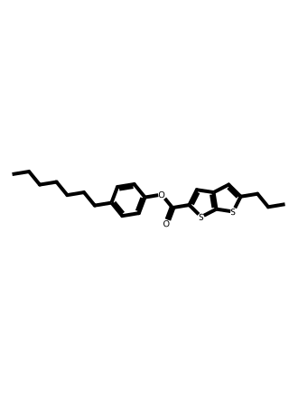 CCCCCCCc1ccc(OC(=O)c2cc3cc(CCC)sc3s2)cc1